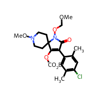 CCOC(=O)OC1=C(c2cc(C)c(Cl)cc2C)C(=O)N(OCOC)C12CCN(OC)CC2